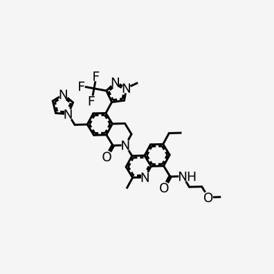 CCc1cc(C(=O)NCCOC)c2nc(C)cc(N3CCc4c(cc(Cn5ccnc5)cc4-c4cn(C)nc4C(F)(F)F)C3=O)c2c1